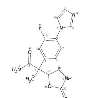 CC(C(N)=O)(c1ccc(-n2ccnc2)c(F)c1)C1CNC(=O)O1